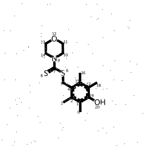 Cc1c(C)c(CSC(=S)N2CCOCC2)c(C)c(C)c1O